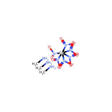 CN.CN.CN.O=[N+]([O-])[Co]([N+](=O)[O-])([N+](=O)[O-])([N+](=O)[O-])([N+](=O)[O-])[N+](=O)[O-]